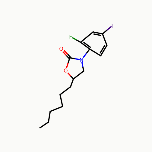 CCCCCCC1CN(c2ccc(I)cc2F)C(=O)O1